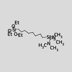 CCO[Si](CCCCCCCC[SiH2]C(N(C)C)N(C)C)(OCC)OCC